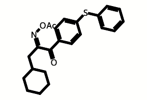 CC(=O)O/N=C(/CC1CCCCC1)C(=O)c1ccc(Sc2ccccc2)cc1